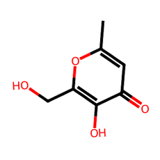 Cc1cc(=O)c(O)c(CO)o1